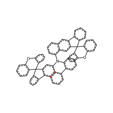 c1ccc(-c2ccccc2N(c2ccc3c(c2)C2(c4ccccc4Oc4ccccc42)c2ccccc2-3)c2cccc3cc4c(cc23)C2(c3ccccc3Oc3ccccc32)c2ccccc2-4)cc1